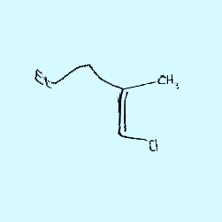 CCCC(C)=CCl